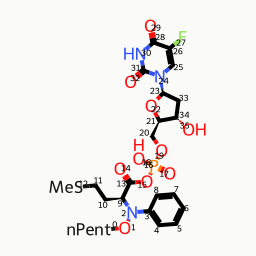 CCCCCON(c1ccccc1)[C@@H](CCSC)C(=O)OP(=O)(O)OC[C@H]1O[C@@H](n2cc(F)c(=O)[nH]c2=O)C[C@@H]1O